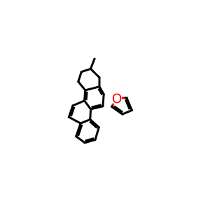 CC1CCc2c(ccc3c2ccc2ccccc23)C1.c1ccoc1